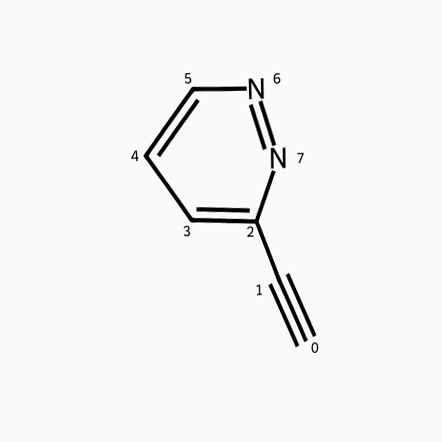 C#Cc1cccnn1